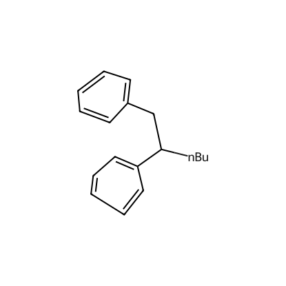 [CH2]CCCC(Cc1ccccc1)c1ccccc1